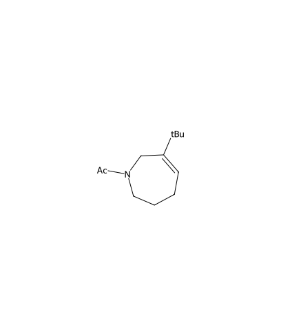 CC(=O)N1CCCC=C(C(C)(C)C)C1